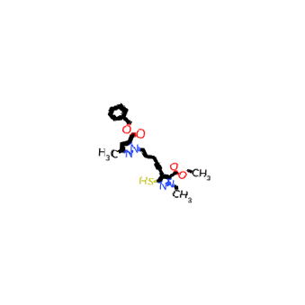 CCOC(=O)c1c(C#CCCCn2nc(C)cc2C(=O)OCc2ccccc2)c(S)nn1CC